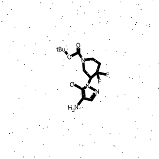 CC(C)(C)OC(=O)N1CCC(F)(F)C(n2ncc(N)c2Cl)C1